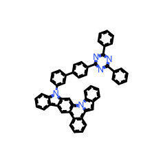 c1ccc(-c2nc(-c3ccccc3)nc(-c3ccc(-c4cccc(-n5c6ccccc6c6cc7c8ccccc8c8cc9ccccc9n8c7cc65)c4)cc3)n2)cc1